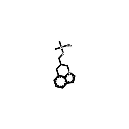 CC(C)(C)[Si](C)(C)OCC1Cc2cccc3ccn(c23)C1